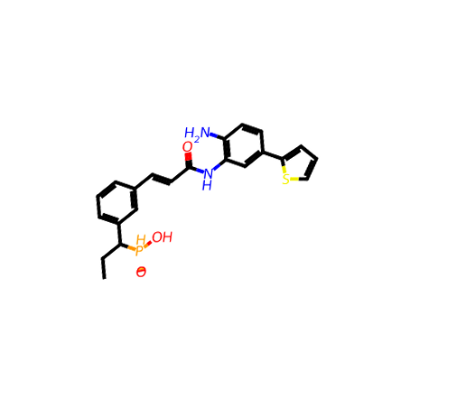 CCC(c1cccc(/C=C/C(=O)Nc2cc(-c3cccs3)ccc2N)c1)[PH](=O)O